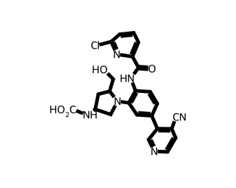 N#Cc1ccncc1-c1ccc(NC(=O)c2cccc(Cl)n2)c(N2CC(NC(=O)O)CC2CO)c1